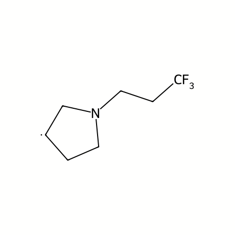 FC(F)(F)CCN1C[CH]CC1